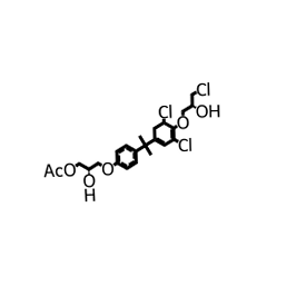 CC(=O)OC[C@@H](O)COc1ccc(C(C)(C)C2=CC(Cl)=C(OC[C@H](O)CCl)C(Cl)C2)cc1